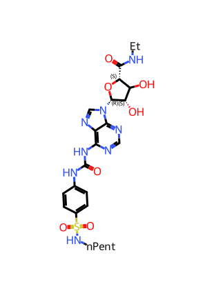 CCCCCNS(=O)(=O)c1ccc(NC(=O)Nc2ncnc3c2ncn3[C@@H]2O[C@H](C(=O)NCC)C(O)[C@@H]2O)cc1